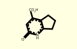 O=C(O)c1cc(=O)[nH]c2c1CCC2